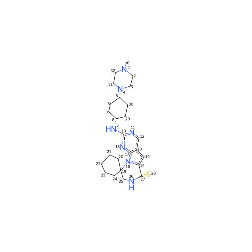 CN1CCN([C@H]2CC[C@@H](Nc3ncc4cc5n(c4n3)C3(CCCCC3)CNC5=S)CC2)CC1